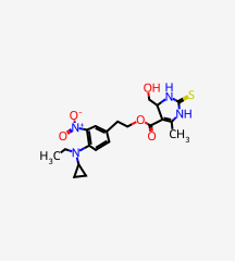 CCN(c1ccc(CCOC(=O)C2=C(C)NC(=S)NC2CO)cc1[N+](=O)[O-])C1CC1